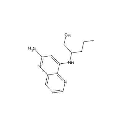 CCCC(CO)Nc1cc(N)nc2cccnc12